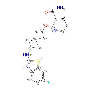 NC(=O)c1cccnc1OC1CC2(CC(Nc3nc4ccc(F)cc4s3)C2)C1